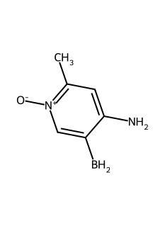 Bc1c[n+]([O-])c(C)cc1N